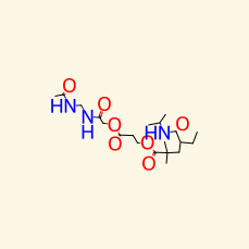 CCC(CC(C)(C)C(=O)OCCC(=O)OCC(=O)NCNC(C)=O)C(=O)NC(C)C